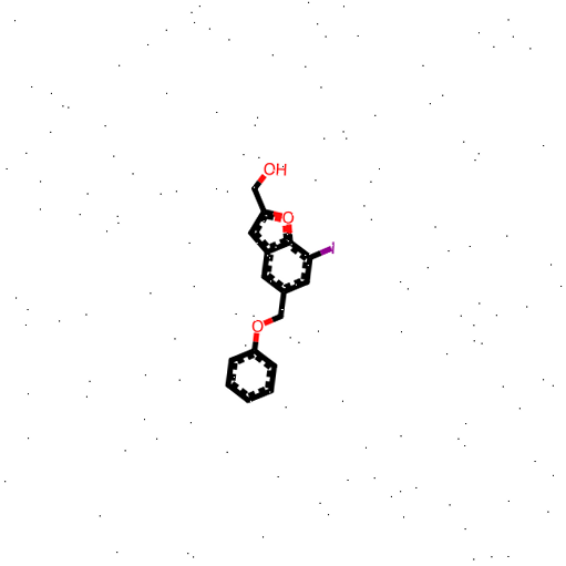 OCc1cc2cc(COc3ccccc3)cc(I)c2o1